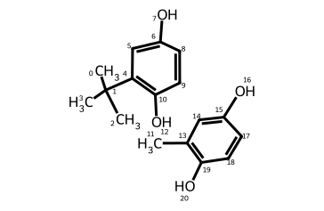 CC(C)(C)c1cc(O)ccc1O.Cc1cc(O)ccc1O